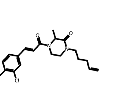 C=CCCCN1CCN(C(=O)C=Cc2ccc(Cl)c(Cl)c2)C(C)C1=O